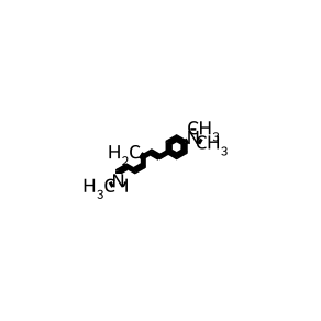 C=C(C=Cc1ccc(N(C)C)cc1)/C=C\C=C/N(C)I